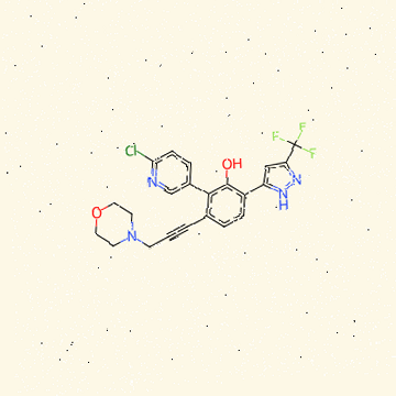 Oc1c(-c2cc(C(F)(F)F)n[nH]2)ccc(C#CCN2CCOCC2)c1-c1ccc(Cl)nc1